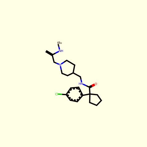 C=C(CN1CCC(CNC(=O)C2(c3ccc(Cl)cc3)CCCC2)CC1)NC(C)(C)C